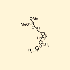 COCCN(CCOC)CC(=O)NCC#Cc1ccc2ncnc(Nc3ccc(Oc4ccc(C)nc4)c(C)c3)c2c1